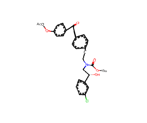 CC(=O)OOc1ccc(C(=O)c2ccc(CCN(C[C@H](O)c3cccc(Cl)c3)C(=O)OC(C)(C)C)cc2)cc1